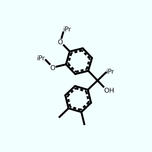 Cc1ccc(C(O)(c2ccc(OC(C)C)c(OC(C)C)c2)C(C)C)cc1C